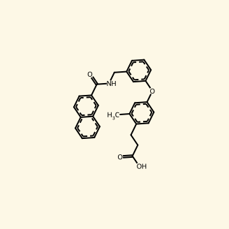 Cc1cc(Oc2cccc(CNC(=O)c3ccc4ccccc4c3)c2)ccc1CCC(=O)O